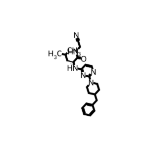 CC(C)C[C@H](Nc1ccnc(N2CCC(Cc3ccccc3)CC2)n1)C(=O)NCC#N